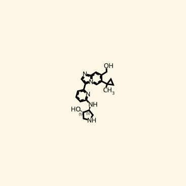 CC1(c2cn3c(-c4cccc(N[C@H]5CNC[C@@H]5O)n4)cnc3cc2CO)CC1